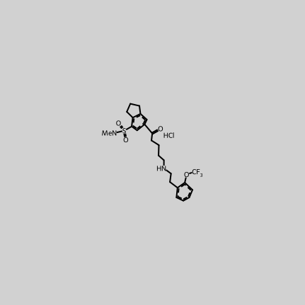 CNS(=O)(=O)c1cc(C(=O)CCCCNCCc2ccccc2OC(F)(F)F)cc2c1CCC2.Cl